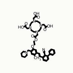 Cc1cc(CN2CCCCC2)c(OCCOC(=O)CN2CCN(CC(=O)O)CCN(CC(=O)O)CCN(CC(=O)O)CC2)cc1/C=C/c1cccc(-c2ccccc2)c1C#N